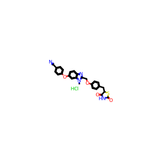 Cl.Cn1c(COc2ccc(CC3SC(=O)NC3=O)cc2)nc2ccc(Oc3ccc(C#N)cc3)cc21